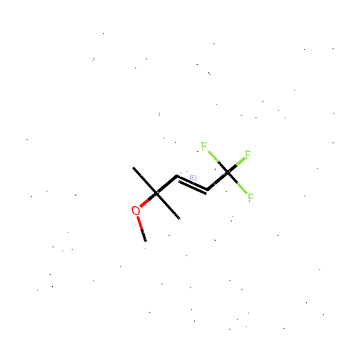 COC(C)(C)/C=C/C(F)(F)F